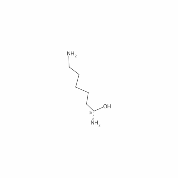 NCCCCC[C@@H](N)O